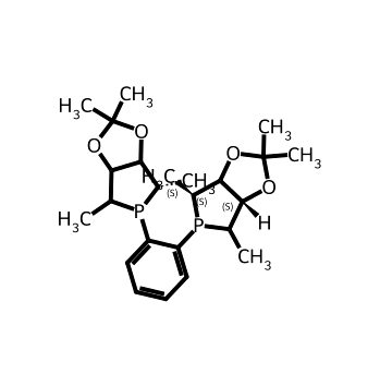 CC1C2OC(C)(C)OC2[C@H](C)P1c1ccccc1P1C(C)[C@H]2OC(C)(C)OC2[C@@H]1C